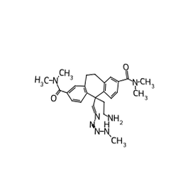 CN/N=N\N=C\C1(CCN)c2ccc(C(=O)N(C)C)cc2CCc2cc(C(=O)N(C)C)ccc21